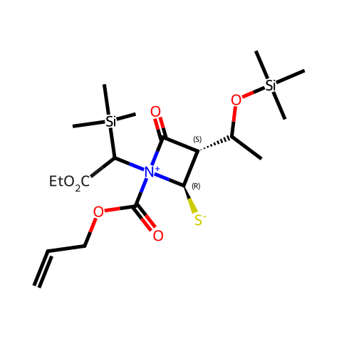 C=CCOC(=O)[N+]1(C(C(=O)OCC)[Si](C)(C)C)C(=O)[C@H](C(C)O[Si](C)(C)C)[C@H]1[S-]